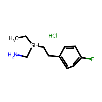 CC[SiH](CN)CCc1ccc(F)cc1.Cl